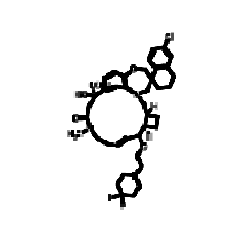 CN1CC/C=C/[C@H](OCCN2CCC(F)(F)CC2)[C@@H]2CC[C@H]2CN2C[C@@]3(CCCc4cc(Cl)ccc43)COc3ccc(cc32)[C@@](O)(C(=O)O)CC1=O